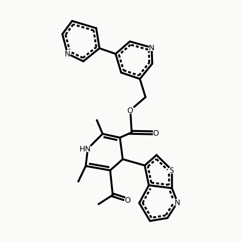 CC(=O)C1=C(C)NC(C)=C(C(=O)OCc2cncc(-c3cccnc3)c2)C1c1csc2ncccc12